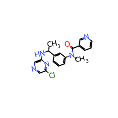 C[C@H](Nc1cncc(Cl)n1)c1cccc(N(C)C(=O)c2cccnc2)c1